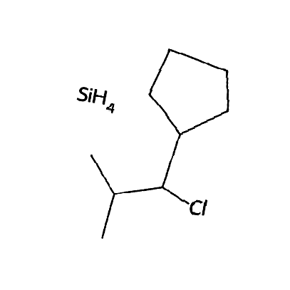 CC(C)C(Cl)C1CCCC1.[SiH4]